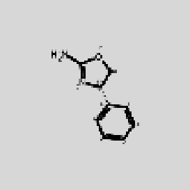 NC1=N[C@@H](c2ccccc2)CO1